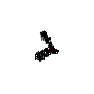 C#CCN1C(=O)COc2cc(F)c(/N=c3\snc4n3CC(C)(C)C4)cc21.CC1COc2ccccc2N1C(=O)C(Cl)Cl.CCNc1nc(Cl)nc(NC(C)C)n1.COc1cc(OC)nc(NC(=O)NS(=O)(=O)c2ncccc2C(=O)N(C)C)n1.O=C(O)CNCP(=O)(O)O